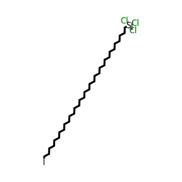 Cl[Si](Cl)(Cl)CCCCCCCCCCCCCCCCCCCCCCCCCCCCCCCCCI